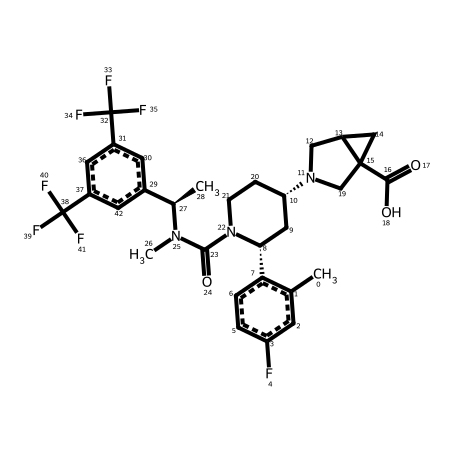 Cc1cc(F)ccc1[C@H]1C[C@@H](N2CC3CC3(C(=O)O)C2)CCN1C(=O)N(C)[C@H](C)c1cc(C(F)(F)F)cc(C(F)(F)F)c1